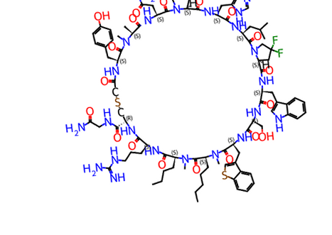 CCCCC[C@H]1C(=O)N(C)[C@@H](CCCC)C(=O)N[C@@H](CCCNC(=N)N)C(=O)N[C@H](C(=O)NCC(N)=O)CSCC(=O)N[C@@H](Cc2ccc(O)cc2)C(=O)N(C)[C@@H](C)C(=O)N[C@@H](CC(N)=O)C(=O)N2CCC[C@H]2C(=O)N[C@@H](Cc2cnc[nH]2)C(=O)N[C@@H](CC(C)C)C(=O)N2CC(F)(F)C[C@H]2C(=O)N[C@@H](Cc2c[nH]c3ccccc23)C(=O)N[C@@H](CO)C(=O)N[C@@H](Cc2csc3ccccc23)C(=O)N1C